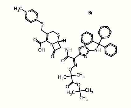 C[n+]1ccc(SCC2=C(C(=O)O)N3C(=O)[C@@H](NC(=O)/C(=N\OC(C)(C)C(=O)OC(C)(C)C)c4csc(NC(c5ccccc5)(c5ccccc5)c5ccccc5)n4)[C@H]3SC2)cc1.[Br-]